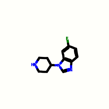 Fc1ccc2ncn(C3CCNCC3)c2c1